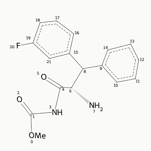 COC(=O)NC(=O)[C@@H](N)C(c1ccccc1)c1cccc(F)c1